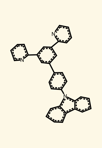 c1ccc(-c2cc(-c3ccc(-n4c5ccccc5c5ccccc54)cc3)cc(-c3ccccn3)c2)nc1